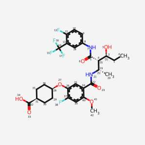 CC[C@H](O)[C@@H](C(=O)Nc1ccc(F)c(C(F)(F)F)c1)[C@H](C)NC(=O)c1cc(O[C@H]2CC[C@@H](C(=O)O)CC2)c(F)cc1OC